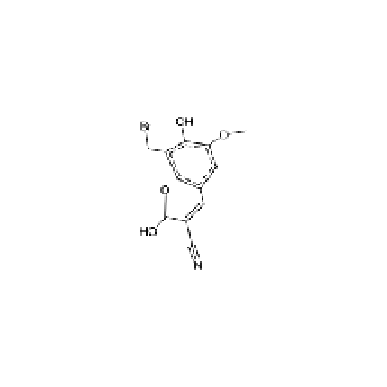 COc1cc(C=C(C#N)C(=O)O)cc(CBr)c1O